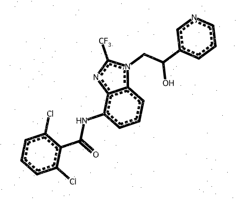 O=C(Nc1cccc2c1nc(C(F)(F)F)n2CC(O)c1cccnc1)c1c(Cl)cccc1Cl